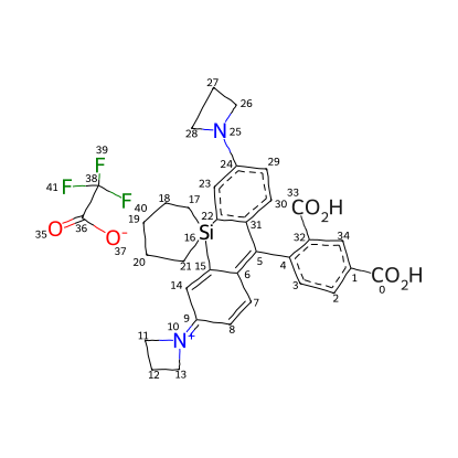 O=C(O)c1ccc(C2=C3C=CC(=[N+]4CCC4)C=C3[Si]3(CCCCC3)c3cc(N4CCC4)ccc32)c(C(=O)O)c1.O=C([O-])C(F)(F)F